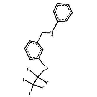 FC(F)(F)C(F)(F)Oc1cccc(CNc2cc[c]cc2)c1